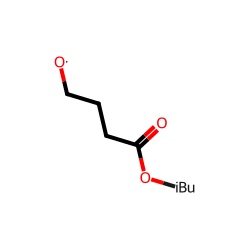 CCC(C)OC(=O)CCC[O]